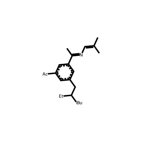 CCC(C)C(CC)Cc1cc(C(C)=O)cc(/C(C)=N/C=C(C)C)c1